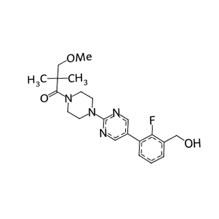 COCC(C)(C)C(=O)N1CCN(c2ncc(-c3cccc(CO)c3F)cn2)CC1